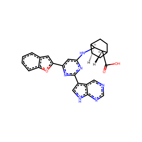 O=C(O)[C@H]1C2CCC(CC2)[C@@H]1Nc1cc(-c2cc3ccccc3o2)nc(-c2c[nH]c3ncncc23)n1